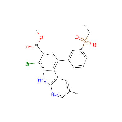 CCS(=O)(=O)c1cccc(-c2cc(C(=O)OC)c(Br)c3[nH]c4ncc(C)cc4c23)c1